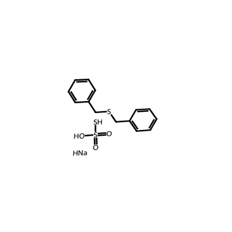 O=S(=O)(O)S.[NaH].c1ccc(CSCc2ccccc2)cc1